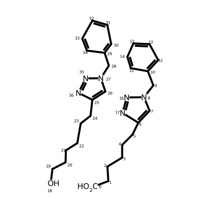 O=C(O)CCCCCc1cn(Cc2ccccc2)nn1.OCCCCCCc1cn(Cc2ccccc2)nn1